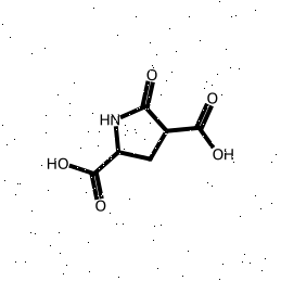 O=C(O)C1CC(C(=O)O)C(=O)N1